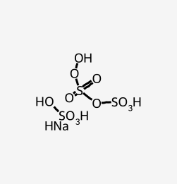 O=S(=O)(O)O.O=S(=O)(O)OS(=O)(=O)OO.[NaH]